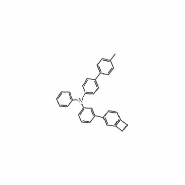 Cc1ccc(-c2ccc(N(c3ccccc3)c3cccc(-c4ccc5c(c4)CC5)c3)cc2)cc1